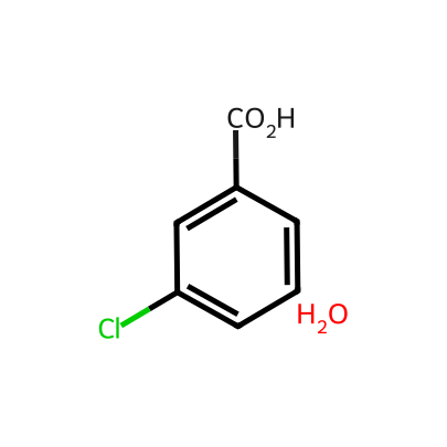 O.O=C(O)c1cccc(Cl)c1